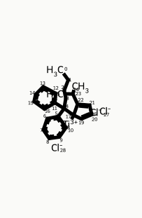 CCCCC(c1ccccc1)(c1ccccc1)[C]1([Ti+3])C=CC=C1C(C)C.[Cl-].[Cl-].[Cl-]